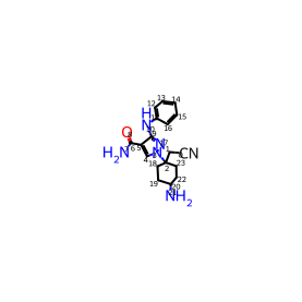 N#CCC1(n2cc(C(N)=O)c(Nc3ccccc3)n2)CCC(N)CC1